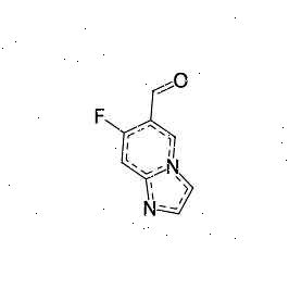 O=Cc1cn2ccnc2cc1F